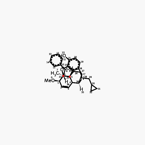 CO[C@]12C=C[C@@]3(C[C@]1(C)[C@@H](O)c1ccccc1)[C@H]1Cc4ccc(O)c5c4[C@@]3(CCN1CC1CC1)[C@H]2O5